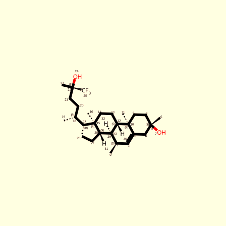 C[C@@H]1C=C2C[C@@](C)(O)CC[C@]2(C)[C@H]2CC[C@]3(C)[C@@H]([C@H](C)CC[C@](C)(O)C(F)(F)F)CC[C@H]3[C@H]12